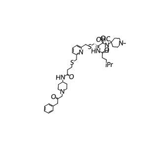 CC(C)CCC(=O)N[C@H](CSCc1cccc(CSCCC(=O)NC2CCN(CC(=O)Cc3ccccc3)CC2)n1)C(=O)NC1(C=O)CCN(C)CC1